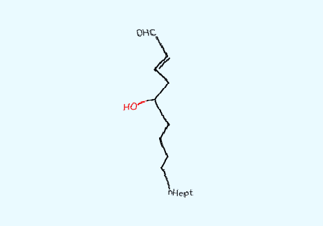 CCCCCCCCCCCC(O)CC=CC=O